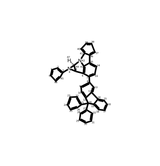 c1ccc(N2C3c4c(-c5ccc6c(c5)-c5ccccc5C6(c5ccccc5)c5ccccc5)ccc5c6ccccc6n(c45)[C@@H]32)cc1